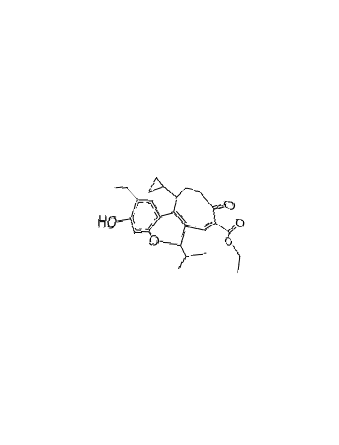 CCOC(=O)/C1=C/C2=C(c3cc(CC)c(O)cc3OC2C(C)C)C(C2CC2)CCC1=O